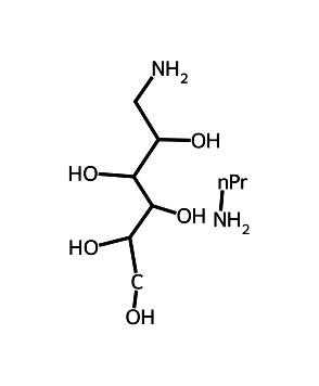 CCCN.NCC(O)C(O)C(O)C(O)CO